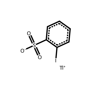 O=S(=O)([O-])c1ccccc1I.[Tl+]